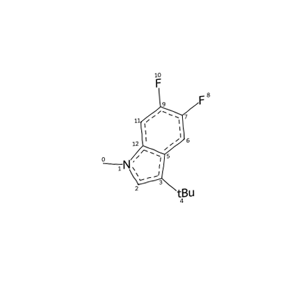 Cn1cc(C(C)(C)C)c2cc(F)c(F)cc21